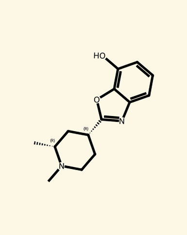 C[C@@H]1C[C@H](c2nc3cccc(O)c3o2)CCN1C